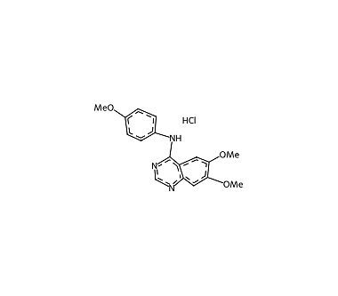 COc1ccc(Nc2ncnc3cc(OC)c(OC)cc23)cc1.Cl